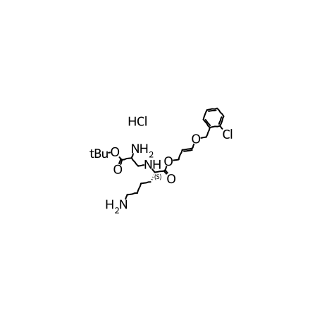 CC(C)(C)OC(=O)C(N)CN[C@@H](CCCCN)C(=O)OCC=COCc1ccccc1Cl.Cl